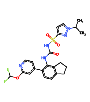 CC(C)n1ccc(S(=O)(=O)NC(=O)Nc2c(-c3ccnc(OC(F)F)c3)ccc3c2CCC3)n1